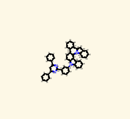 c1ccc(-c2cc(-c3ccccc3)nc(-c3cccc(-n4c5ccccc5c5c4ccc4c6ccccc6c6cc7ccccc7n6c45)c3)n2)cc1